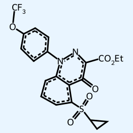 CCOC(=O)c1nn(-c2ccc(OC(F)(F)F)cc2)c2cccc(S(=O)(=O)C3CC3)c2c1=O